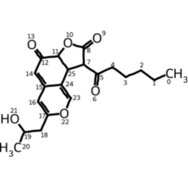 CCCCCC(=O)C1C(=O)OC2C(=O)C=C3C=C(CC(C)O)OC=C3C21